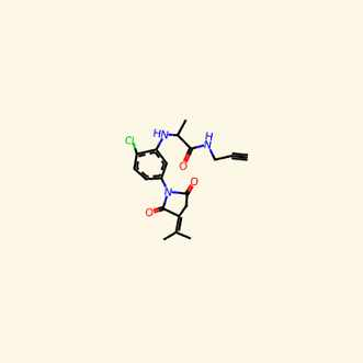 C#CCNC(=O)C(C)Nc1cc(N2C(=O)CC(=C(C)C)C2=O)ccc1Cl